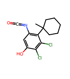 CC1(c2c(N=C=O)cc(O)c(Cl)c2Cl)CCCCC1